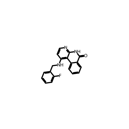 O=c1[nH]c2nccc(NCc3ccccc3F)c2c2ccccc12